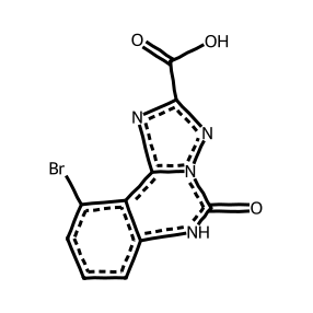 O=C(O)c1nc2c3c(Br)cccc3[nH]c(=O)n2n1